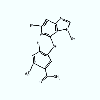 Cc1cc(F)c(Nc2nc(Br)cc3ncn(C(C)C)c23)cc1C(N)=O